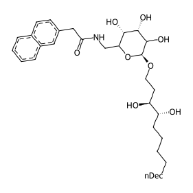 CCCCCCCCCCCCCC[C@@H](O)[C@@H](O)CCO[C@H]1OC(CNC(=O)Cc2ccc3ccccc3c2)[C@H](O)[C@H](O)C1O